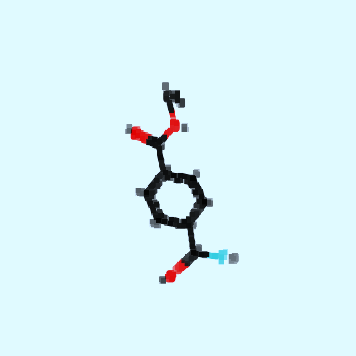 COC(=O)c1ccc(C(=O)F)cc1